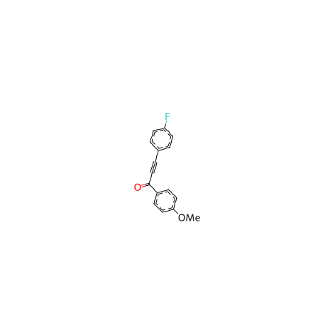 COc1ccc(C(=O)C#Cc2ccc(F)cc2)cc1